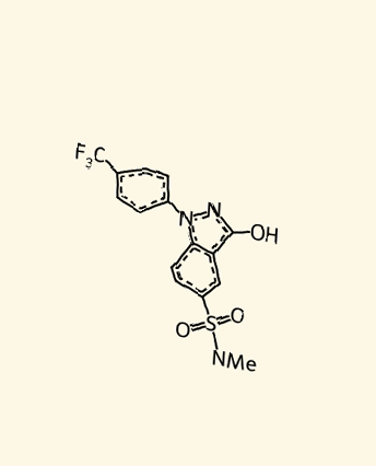 CNS(=O)(=O)c1ccc2c(c1)c(O)nn2-c1ccc(C(F)(F)F)cc1